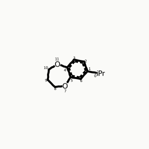 CC(C)c1ccc2c(c1)OCCCO2